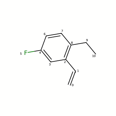 C=[C]c1cc(F)ccc1CC